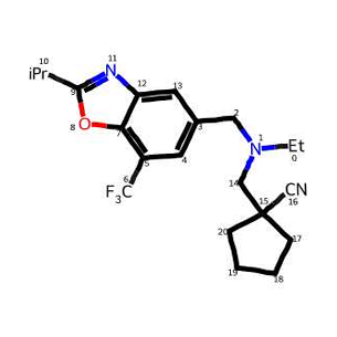 CCN(Cc1cc(C(F)(F)F)c2oc(C(C)C)nc2c1)CC1(C#N)CCCC1